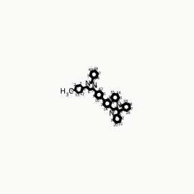 CC1C=CC(c2cc(-c3ccc(-c4ccc(-c5nc6ccccc6c6c7ccccc7n(-c7ccccc7)c56)cc4)cc3)nc(-c3ccccc3)n2)=CC1